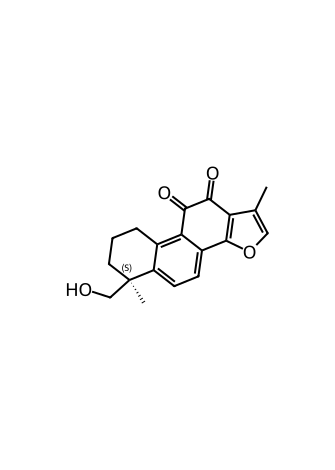 Cc1coc2c1C(=O)C(=O)c1c-2ccc2c1CCC[C@]2(C)CO